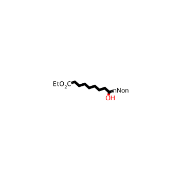 CCCCCCCCCC(O)CCCCCCCC(=O)OCC